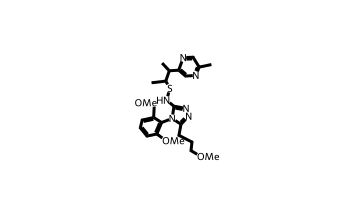 COCCCc1nnc(NSC(C)C(C)c2cnc(C)cn2)n1-c1c(OC)cccc1OC